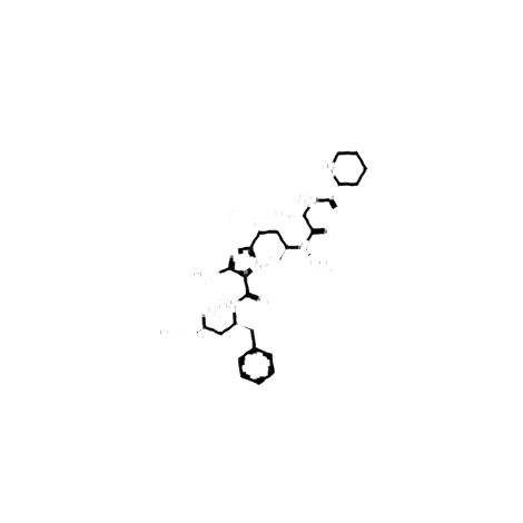 CC(=O)O[C@H](C[C@H](C(C)C)N(C)C(=O)[C@@H](NC(=O)[C@H]1CCCCN1)C(C)C)c1nc(C(=O)N[C@@H](Cc2ccccc2)C[C@H](C)C(=O)O)c(C)s1